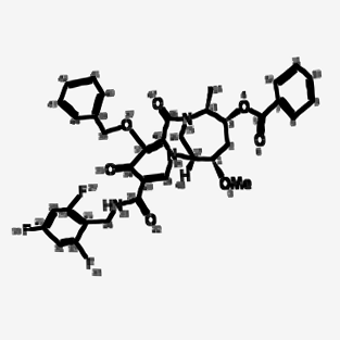 CO[C@@H]1C[C@H](OC(=O)c2ccccc2)[C@H](C)N2C[C@H]1n1cc(C(=O)NCc3c(F)cc(F)cc3F)c(=O)c(OCc3ccccc3)c1C2=O